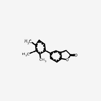 Cc1ccc(-c2ccc3c(c2)CC(=O)O3)c(C)c1C